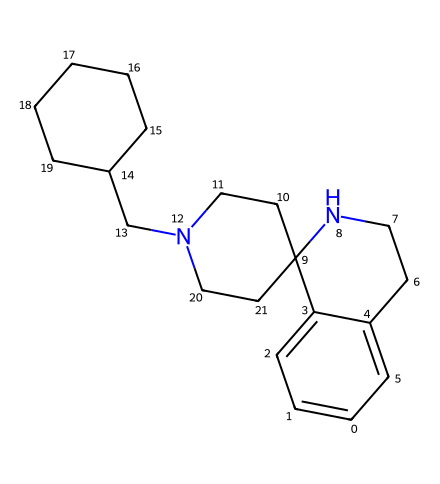 c1ccc2c(c1)CCNC21CCN(CC2CCCCC2)CC1